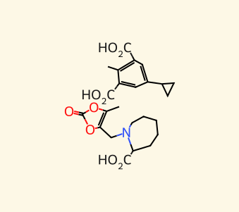 Cc1c(C(=O)O)cc(C2CC2)cc1C(=O)O.Cc1oc(=O)oc1CN1CCCCCC1C(=O)O